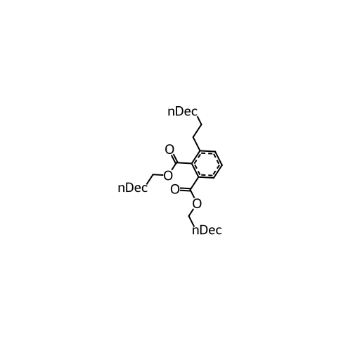 CCCCCCCCCCCCc1cccc(C(=O)OCCCCCCCCCCC)c1C(=O)OCCCCCCCCCCC